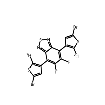 [2H]c1sc(Br)cc1-c1c(F)c(F)c(-c2cc(Br)sc2[2H])c2nsnc12